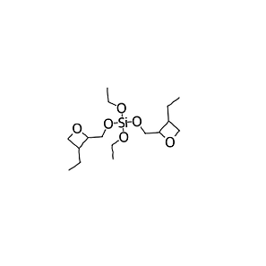 CCO[Si](OCC)(OCC1OCC1CC)OCC1OCC1CC